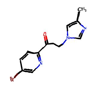 Cc1cn(CC(=O)c2ccc(Br)cn2)cn1